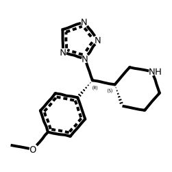 COc1ccc([C@@H]([C@H]2CCCNC2)n2ncnn2)cc1